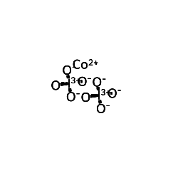 [Co+2].[O-][I+3]([O-])([O-])[O-].[O-][I+3]([O-])([O-])[O-]